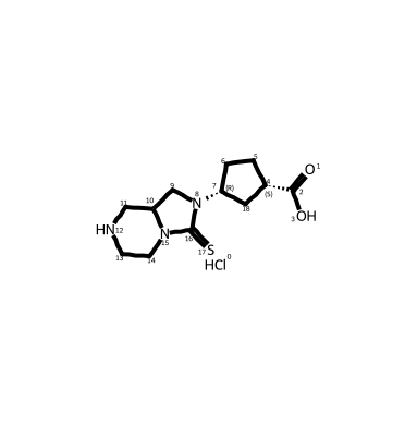 Cl.O=C(O)[C@H]1CC[C@@H](N2CC3CNCCN3C2=S)C1